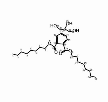 CCCCCCCCOC(=O)c1ccccc1C(=O)OCCCCCCCC.OCC(O)CO